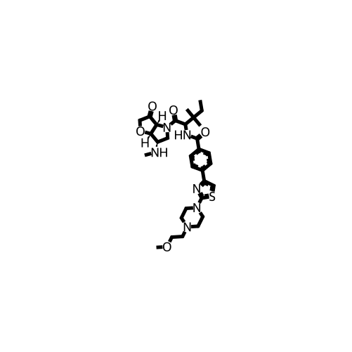 CCC(C)(C)C(NC(=O)c1ccc(-c2csc(N3CCN(CCOC)CC3)n2)cc1)C(=O)N1C[C@H](NC)[C@H]2OCC(=O)[C@H]21